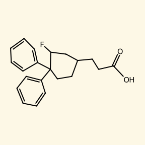 O=C(O)CCC1CCC(c2ccccc2)(c2ccccc2)C(F)C1